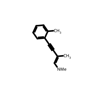 CN/C=C(\C)C#Cc1ccccc1C